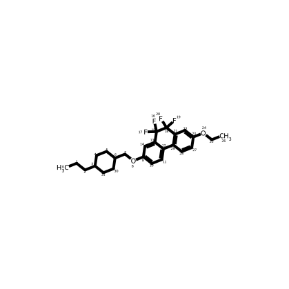 CCCC1CCC(COc2ccc3c(c2)C(F)(F)C(F)(F)c2cc(OCC)ccc2-3)CC1